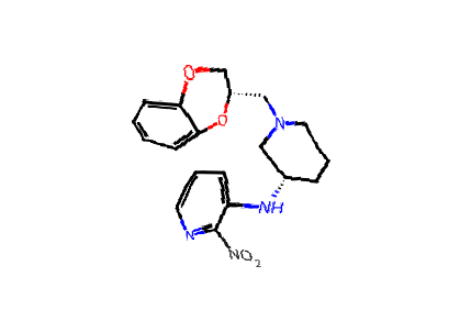 O=[N+]([O-])c1ncccc1N[C@H]1CCCN(C[C@H]2COc3ccccc3O2)C1